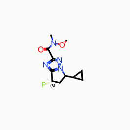 CON(C)C(=O)c1nc2n(n1)C(C1CC1)C[C@@H]2F